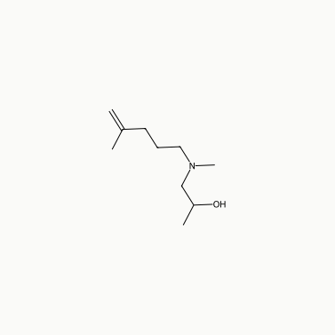 C=C(C)CCCN(C)CC(C)O